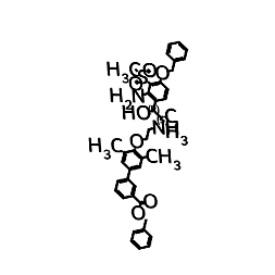 Cc1cc(-c2cccc(C(=O)OCc3ccccc3)c2)cc(C)c1OCCN[C@@H](C)[C@H](O)c1ccc(OCc2ccccc2)c(S(C)(=O)=O)c1N